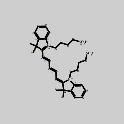 CC1(C)C(/C=C/C=C/C=C2\N(CCCCS(=O)(=O)O)c3ccccc3C2(C)C)=[N+](CCCCS(=O)(=O)O)c2ccccc21